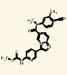 COC(=O)Nc1ccc(-c2cnc3ccc(C(=O)N(C)c4ccc(C#N)c(C)c4)cn23)cn1